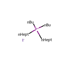 CCCCCCC[P+](CCCC)(CCCC)CCCCCCC.[I-]